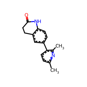 Cc1ccc(-c2ccc3c(c2)CCC(=O)N3)c(C)n1